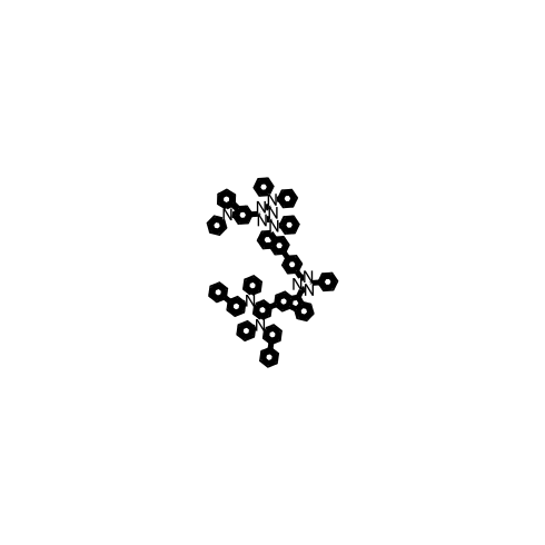 c1ccc(-c2cccc(N(c3ccccc3)c3cc(-c4ccc5c(c4)-c4ccccc4C5c4nc(-c5ccccc5)nc(-c5ccc(-c6ccc7c(N(c8ccccc8)c8nc(-c9ccc%10c(c9)c9ccccc9n%10-c9ccccc9)nc(N(c9ccccc9)c9ccccc9)n8)cccc7c6)cc5)n4)cc(N(c4ccccc4)c4cccc(-c5ccccc5)c4)c3)c2)cc1